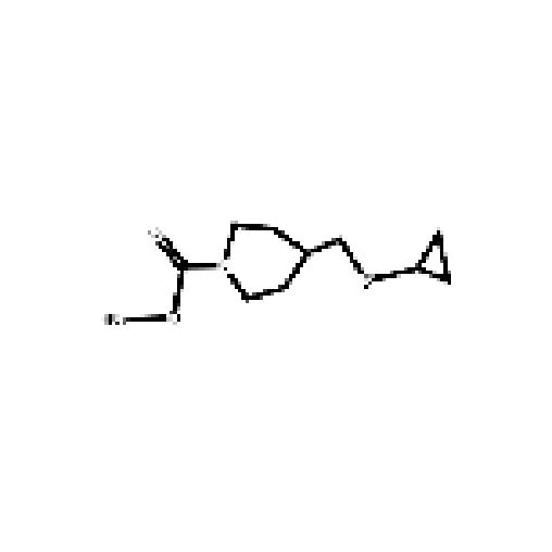 CC(C)(C)OC(=O)N1CCC(CSC2CC2)CC1